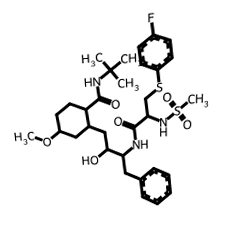 COC1CCC(C(=O)NC(C)(C)C)C(CC(O)C(Cc2ccccc2)NC(=O)C(CSc2ccc(F)cc2)NS(C)(=O)=O)C1